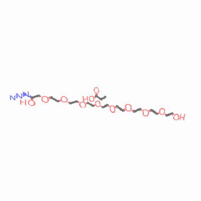 CCC(=O)O.[N-]=[N+]=NC(O)COCCOCCOCCOCCOCCOCCOCCOCCO